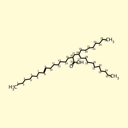 CCCCCCCCC=CCCCCCCC(CC(CCCCCCCC)CCCCCCCCCC)C(=O)O